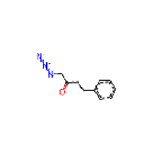 [N-]=[N+]=NCC(=O)CCc1ccccc1